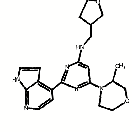 CC1COCCN1c1cc(NCC2CCOC2)nc(-c2ccnc3[nH]ccc23)n1